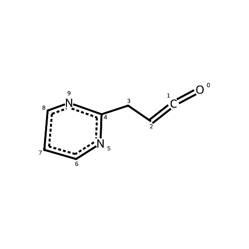 O=C=CCc1ncccn1